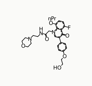 CCCOc1ccc(F)c2c(=O)c(-c3ccc(OCCO)cc3)cn(CC(=O)NCCN3CCOCC3)c12